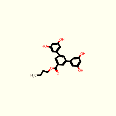 CCCCOC(=O)c1cc(-c2cc(O)cc(O)c2)cc(-c2cc(O)cc(O)c2)c1